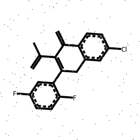 C=C(C)C1=C(c2cc(F)ccc2F)Cc2cc(Cl)ccc2C1=C